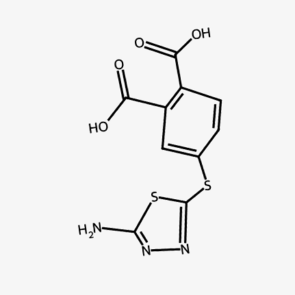 Nc1nnc(Sc2ccc(C(=O)O)c(C(=O)O)c2)s1